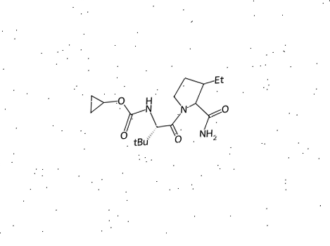 CCC1CCN(C(=O)[C@@H](NC(=O)OC2CC2)C(C)(C)C)C1C(N)=O